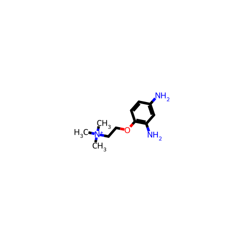 C[N+](C)(C)CCOc1ccc(N)cc1N